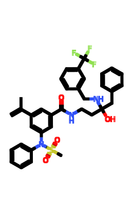 C=C(C)c1cc(C(=O)NCCC(O)(Cc2ccccc2)NCc2cccc(C(F)(F)F)c2)cc(N(c2ccccc2)S(C)(=O)=O)c1